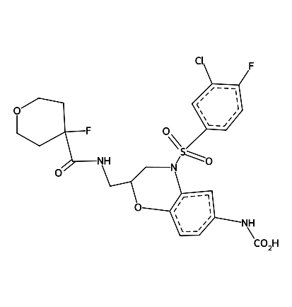 O=C(O)Nc1ccc2c(c1)N(S(=O)(=O)c1ccc(F)c(Cl)c1)CC(CNC(=O)C1(F)CCOCC1)O2